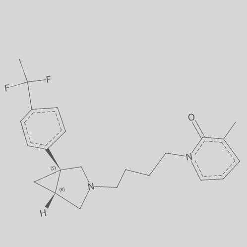 Cc1cccn(CCCCN2C[C@@H]3C[C@]3(c3ccc(C(C)(F)F)cc3)C2)c1=O